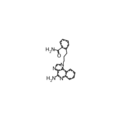 NC(=O)c1ccccc1CCCn1cnc2c(N)nc3ccccc3c21